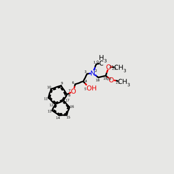 CCN(CC(O)COc1cccc2ccccc12)CC(OC)OC